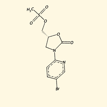 CS(=O)(=O)OC[C@H]1CN(c2ccc(Br)cn2)C(=O)O1